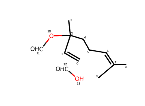 C=CC(C)(CCC=C(C)C)OC=O.O=CO